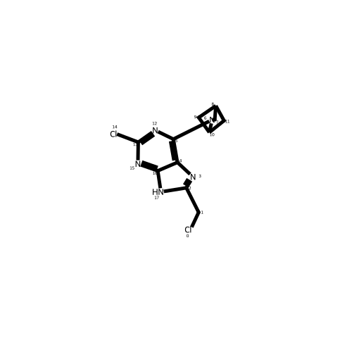 ClCc1nc2c(N3CC4CC3C4)nc(Cl)nc2[nH]1